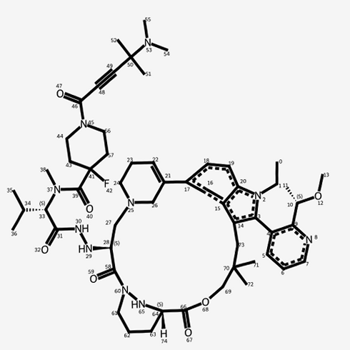 CCn1c(-c2cccnc2[C@H](C)OC)c2c3cc(ccc31)C1=CCCN(C1)C[C@H](NNC(=O)[C@H](C(C)C)N(C)C(=O)C1(F)CCN(C(=O)C#CC(C)(C)N(C)C)CC1)C(=O)N1CCC[C@H](N1)C(=O)OCC(C)(C)C2